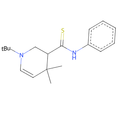 CC1(C)C=CN(C(C)(C)C)CC1C(=S)Nc1ccccc1